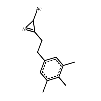 CC(=O)C1N=C1CCc1cc(C)c(C)c(C)c1